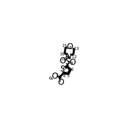 COC(=O)c1ccc(S(=O)(=O)N2CCOCC2)s1